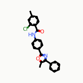 Cc1ccc(C(=O)Nc2ccc(-c3nc(-c4ccccc4)c(C)o3)cc2)c(Cl)c1